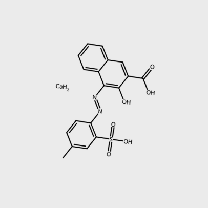 Cc1ccc(/N=N/c2c(O)c(C(=O)O)cc3ccccc23)c(S(=O)(=O)O)c1.[CaH2]